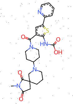 CN1C(=O)CC2(CCCN(C3CCN(C(=O)c4cc(-c5ccccn5)sc4NC(=O)O)CC3)C2)C1=O